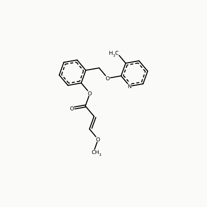 COC=CC(=O)Oc1ccccc1COc1ncccc1C